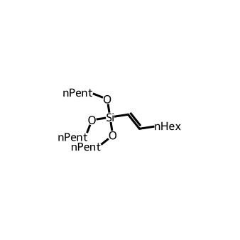 CCCCCCC=C[Si](OCCCCC)(OCCCCC)OCCCCC